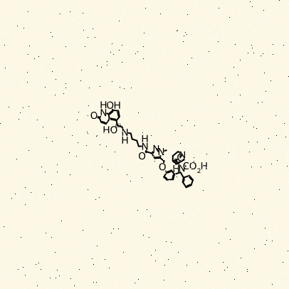 Cn1nc(C(=O)NCCCCNC[C@@H](O)c2ccc(O)c3[nH]c(=O)ccc23)cc1COc1cccc(C(c2ccccc2)N(C(=O)O)[C@H]2CN3CCC2CC3)c1